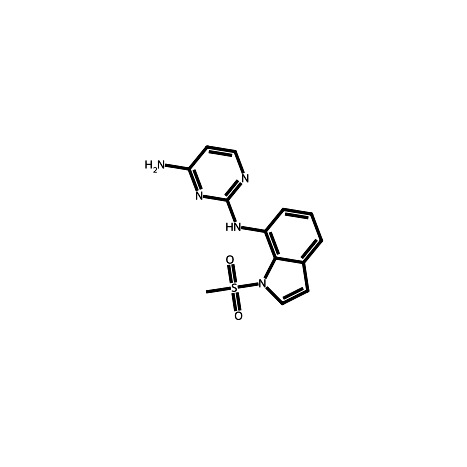 CS(=O)(=O)n1ccc2cccc(Nc3nccc(N)n3)c21